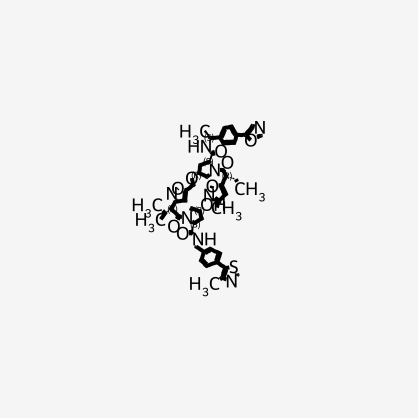 CC[C@@H](C(=O)N1C[C@H](OCc2cc([C@H](C(=O)N3C[C@H](O)C[C@H]3C(=O)NCc3ccc(-c4scnc4C)cc3)C(C)C)no2)C[C@H]1C(=O)N[C@@H](C)c1ccc(-c2cnco2)cc1)c1cc(C)no1